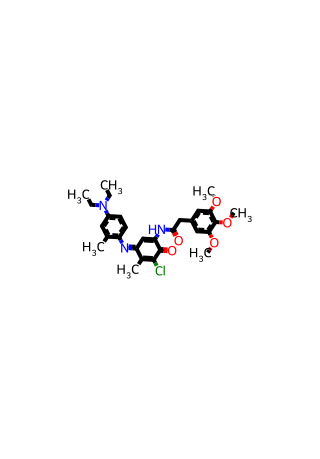 CCN(CC)c1ccc(/N=C2\C=C(NC(=O)Cc3cc(OC)c(OC)c(OC)c3)C(=O)C(Cl)=C2C)c(C)c1